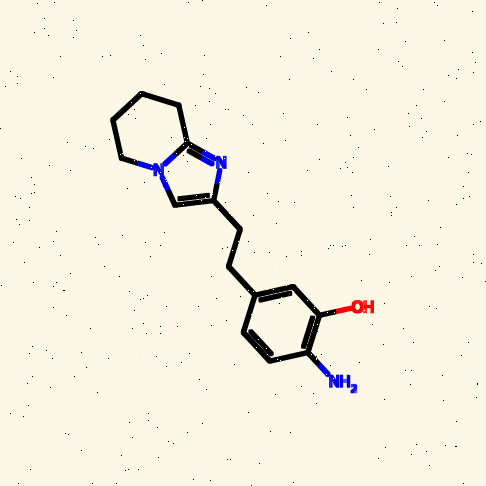 Nc1ccc(CCc2cn3c(n2)CCCC3)cc1O